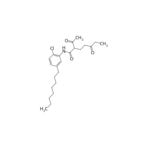 CCCCCCCCc1ccc(Cl)c(NC(=O)C(CCC(=O)CC)C(C)=O)c1